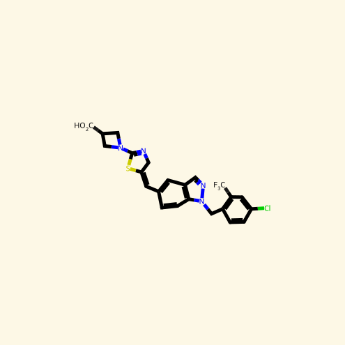 O=C(O)C1CN(C2=NCC(=Cc3ccc4c(cnn4Cc4ccc(Cl)cc4C(F)(F)F)c3)S2)C1